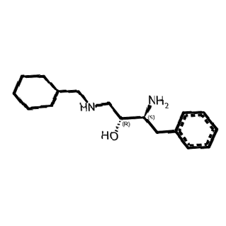 N[C@@H](Cc1ccccc1)[C@H](O)CNCC1CCCCC1